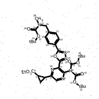 CCOC(=O)C1CC1c1cnc(N(C(=O)OC(C)(C)C)C(=O)OC(C)(C)C)c(-c2nnc(-c3ccc(CN(C)C(=O)OC(C)(C)C)cc3)o2)n1